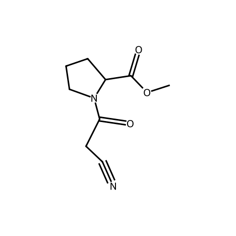 COC(=O)C1CCCN1C(=O)CC#N